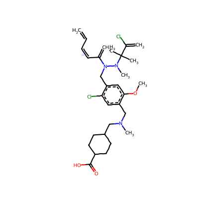 C=C/C=C\C(=C)N(Cc1cc(OC)c(CN(C)CC2CCC(C(=O)O)CC2)cc1Cl)N(C)C(C)(C)C(=C)Cl